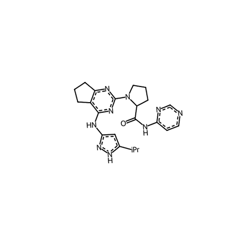 CC(C)c1cc(Nc2nc(N3CCCC3C(=O)Nc3ccncn3)nc3c2CCC3)n[nH]1